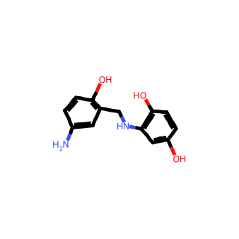 Nc1ccc(O)c(CNc2cc(O)ccc2O)c1